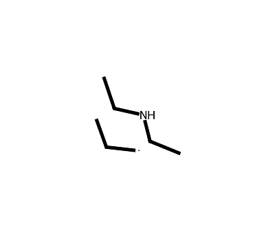 CCNCC.[CH2]CC